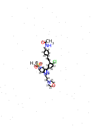 CC(=O)NCc1ccc(C#Cc2cc(-c3nn(CCCN4CCOCC4)c4c3CN(S(C)(=O)=O)CC4)ccc2Cl)cc1